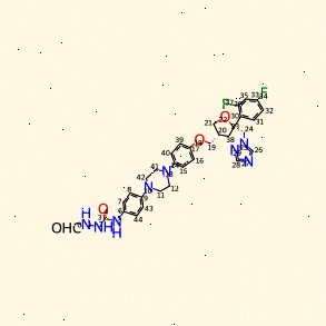 O=CNNC(=O)Nc1ccc(N2CCN(c3ccc(OC[C@@H]4CO[C@@](Cn5cncn5)(c5ccc(F)cc5F)C4)cc3)CC2)cc1